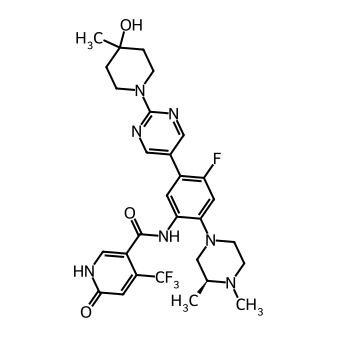 C[C@H]1CN(c2cc(F)c(-c3cnc(N4CCC(C)(O)CC4)nc3)cc2NC(=O)c2c[nH]c(=O)cc2C(F)(F)F)CCN1C